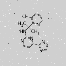 CC(C)(Nc1nccc(-c2nccs2)n1)c1ncccc1Cl